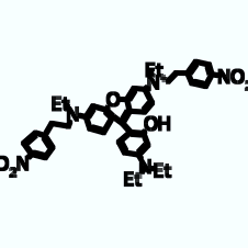 CCN(CC)c1ccc(-c2c3cc/c(=[N+](/CC)CCc4ccc([N+](=O)[O-])cc4)cc-3oc3cc(N(CC)CCc4ccc([N+](=O)[O-])cc4)ccc23)c(O)c1